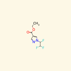 CCOC(=O)c1cnn(C(F)C(F)F)c1